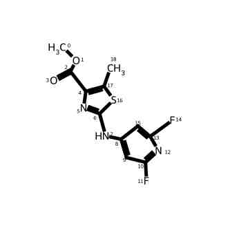 COC(=O)c1nc(Nc2cc(F)nc(F)c2)sc1C